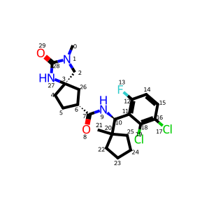 CN1C[C@]2(CC[C@@H](C(=O)N[C@@H](c3c(F)ccc(Cl)c3Cl)C3(C)CCCC3)C2)NC1=O